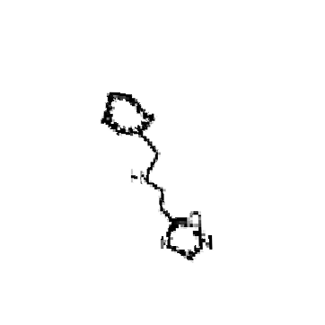 [c]1noc(CCNCc2ccccc2)n1